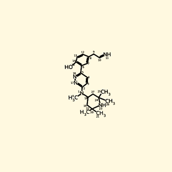 CN(c1ccc(-c2cc(CC=N)ccc2O)nn1)C1CC(C)(C)NC(C)(C)C1